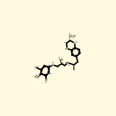 C[C@H](Cc1ccc2c(c1)OC[C@H](C(=O)O)O2)NC[C@H](O)COc1cc(Cl)c(N)c(Cl)c1